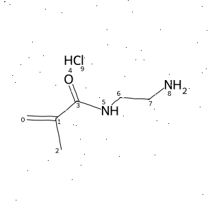 C=C(C)C(=O)NCCN.Cl